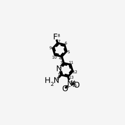 Nc1nc(-c2ccc(F)cc2)ccc1[N+](=O)[O-]